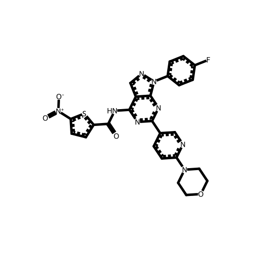 O=C(Nc1nc(-c2ccc(N3CCOCC3)nc2)nc2c1cnn2-c1ccc(F)cc1)c1ccc([N+](=O)[O-])s1